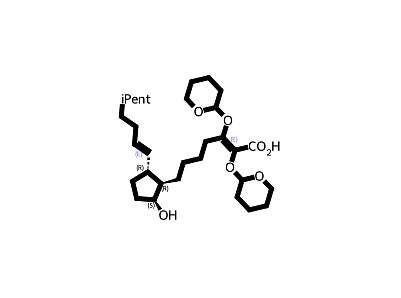 CCCC(C)CC/C=C/[C@H]1CC[C@H](O)[C@@H]1CCCC/C(OC1CCCCO1)=C(\OC1CCCCO1)C(=O)O